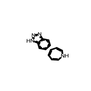 C1=CC=CNC=C1.c1ccc2[nH]nnc2c1